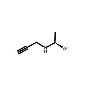 C#CCN[C@@H](C)CCC